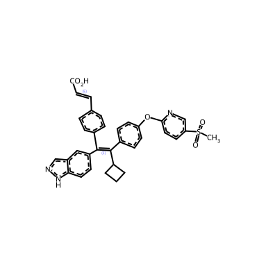 CS(=O)(=O)c1ccc(Oc2ccc(/C(=C(\c3ccc(/C=C/C(=O)O)cc3)c3ccc4[nH]ncc4c3)C3CCC3)cc2)nc1